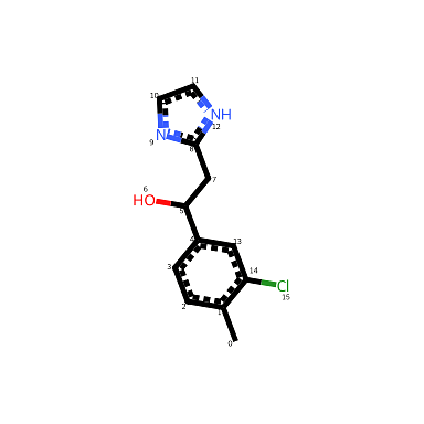 Cc1ccc(C(O)Cc2ncc[nH]2)cc1Cl